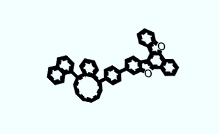 c1cccc(-c2cccc3ccccc23)c2ccccc2c(-c2ccc(-c3ccc4c(c3)oc3c5ccccc5c5oc6ccccc6c5c43)cc2)cc1